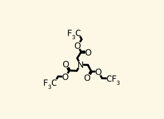 O=C(CN(CC(=O)OCC(F)(F)F)CC(=O)OCC(F)(F)F)OCC(F)(F)F